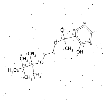 CC(C)(OCCO[Si](C)(C)C(C)(C)C)c1ccccc1O